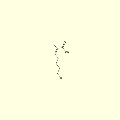 CC(=CCCCCBr)C(=O)O